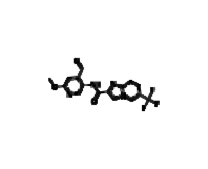 COc1cc(C=O)c(NC(=O)c2cn3cc(C(F)(F)F)ccc3n2)cn1